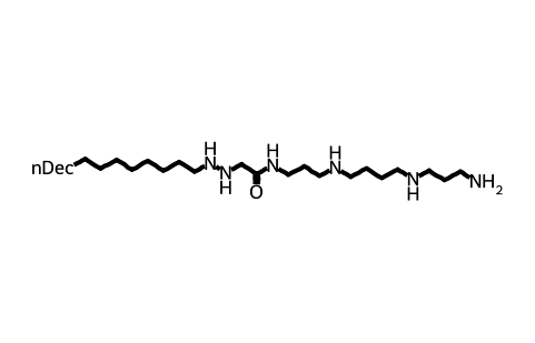 CCCCCCCCCCCCCCCCCCNNCC(=O)NCCCNCCCCNCCCN